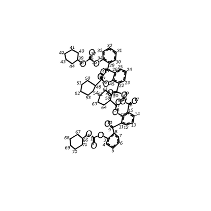 O=C(Oc1ccccc1C(=O)c1cccc(C(=O)OOC(=O)c2cccc(C(=O)c3ccccc3OC(=O)OC3CCCCC3)c2OC(=O)C2CCCCC2)c1OC(=O)C1CCCCC1)OC1CCCCC1